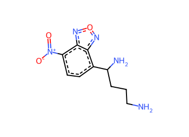 NCCCC(N)c1ccc([N+](=O)[O-])c2nonc12